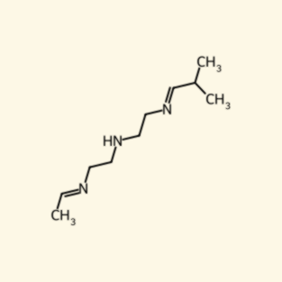 CC=NCCNCCN=CC(C)C